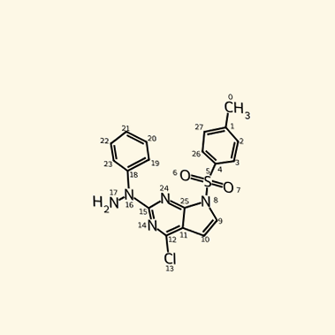 Cc1ccc(S(=O)(=O)n2ccc3c(Cl)nc(N(N)c4ccccc4)nc32)cc1